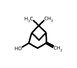 C=C1CC(O)C2CC1C2(C)C